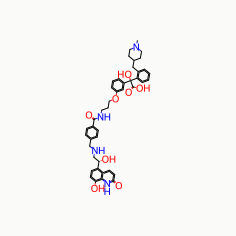 CN1CCC(Cc2ccccc2[C@](O)(C(=O)O)c2cccc(OCCCNC(=O)c3ccc(CNC[C@H](O)c4ccc(O)c5[nH]c(=O)ccc45)cc3)c2)CC1